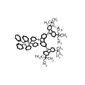 CC(C)(C)c1ccc2c(c1)c1cc(C(C)(C)C)ccc1n2-c1ccc2c(c1)c1cc(-n3c4ccc(C(C)(C)C)cc4c4cc(C(C)(C)C)ccc43)ccc1n2-c1cccc([Si]2(c3ccccc3)c3ccccc3[Si](c3ccccc3)(c3ccccc3)c3ccccc32)c1